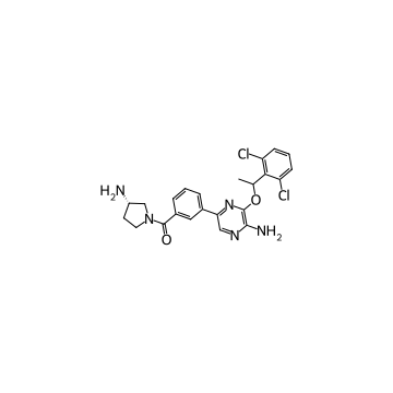 CC(Oc1nc(-c2cccc(C(=O)N3CC[C@H](N)C3)c2)cnc1N)c1c(Cl)cccc1Cl